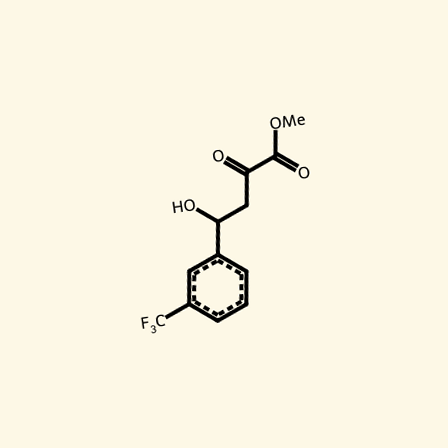 COC(=O)C(=O)CC(O)c1cccc(C(F)(F)F)c1